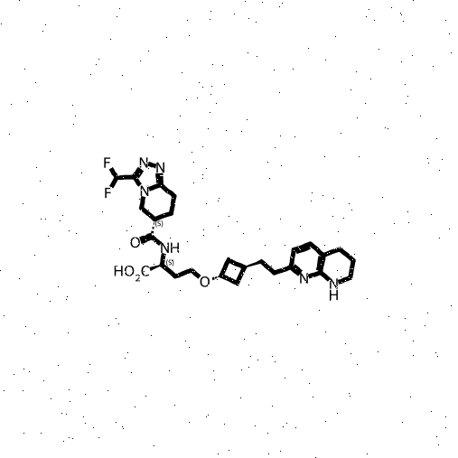 O=C(N[C@@H](CCO[C@H]1C[C@H](CCc2ccc3c(n2)NCCC3)C1)C(=O)O)[C@H]1CCc2nnc(C(F)F)n2C1